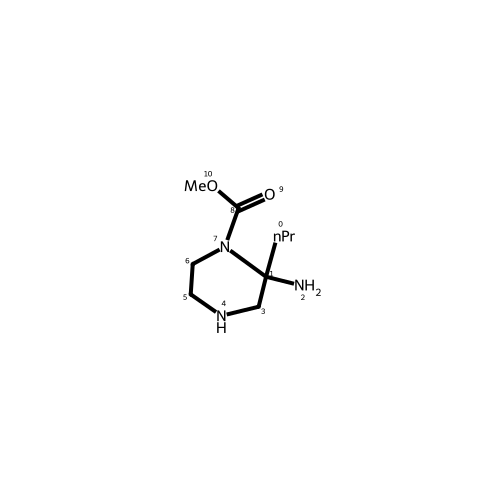 CCCC1(N)CNCCN1C(=O)OC